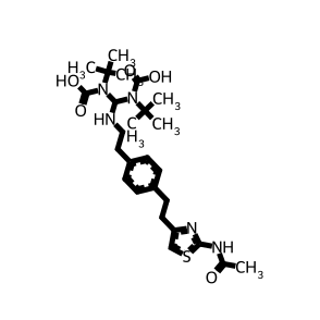 CC(=O)Nc1nc(CCc2ccc(CCNC(N(C(=O)O)C(C)(C)C)N(C(=O)O)C(C)(C)C)cc2)cs1